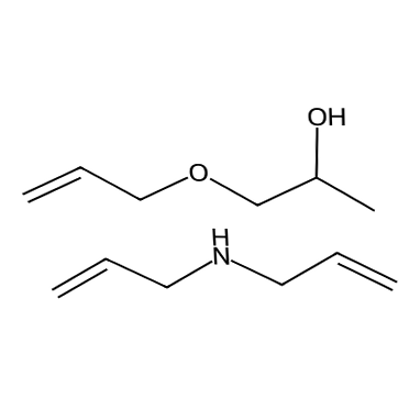 C=CCNCC=C.C=CCOCC(C)O